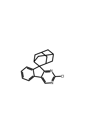 Clc1ncc2c(n1)C1(c3ccccc3-2)C2CC3CC(C2)CC1C3